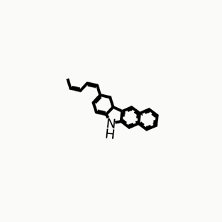 C/C=C\C=C/C1=CC=C2Nc3cc4ccccc4cc3C2C1